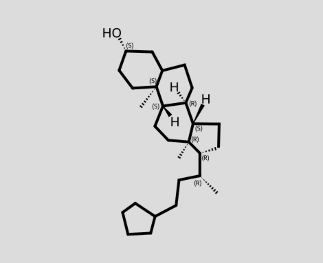 C[C@H](CCC1CCCC1)[C@H]1CC[C@H]2[C@@H]3CCC4C[C@@H](O)CC[C@]4(C)[C@H]3CC[C@]12C